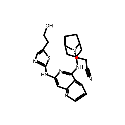 N#CCCN1C2CCC1CC(Nc1nc(Nc3ncc(CCO)s3)cc3ncccc13)C2